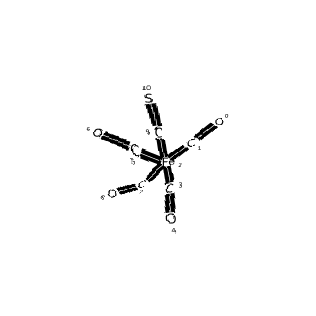 O=[C]=[Fe](=[C]=O)(=[C]=O)(=[C]=O)=[C]=S